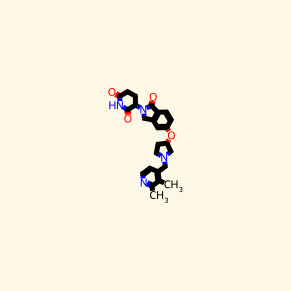 Cc1nccc(CN2CCC(Oc3ccc4c(c3)CN(C3CCC(=O)NC3=O)C4=O)C2)c1C